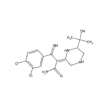 CC(C)(O)C1CNC/C(=C(/C(=N)c2ccc(Cl)c(Cl)c2)C(N)=O)N1